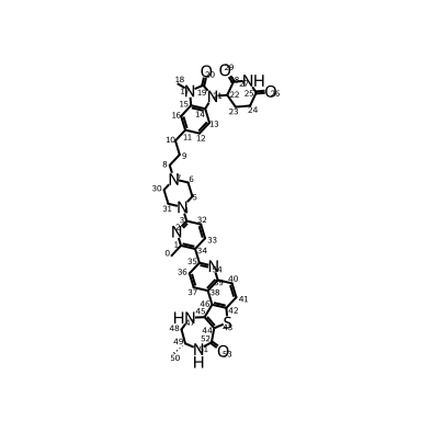 Cc1nc(N2CCN(CCCc3ccc4c(c3)n(C)c(=O)n4C3CCC(=O)NC3=O)CC2)ccc1-c1ccc2c(ccc3sc4c(c32)NC[C@@H](C)NC4=O)n1